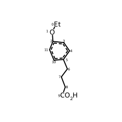 CCOc1ccc(CCCC(=O)O)cc1